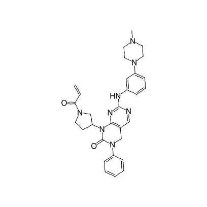 C=CC(=O)N1CCC(N2C(=O)N(c3ccccc3)Cc3cnc(Nc4cccc(N5CCN(C)CC5)c4)nc32)C1